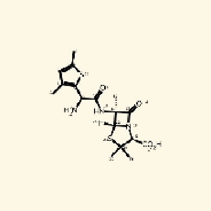 Cc1cc(C)c(C(N)C(=O)N[C@@]2(C)C(=O)N3[C@@H](C(=O)O)C(C)(C)S[C@@H]32)s1